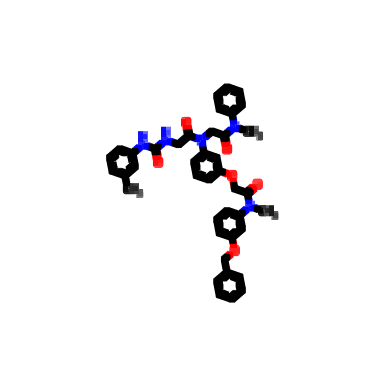 Cc1cccc(NC(=O)NCC(=O)N(CC(=O)N(C)c2ccccc2)c2cccc(OCC(=O)N(C)c3cccc(OCc4ccccc4)c3)c2)c1